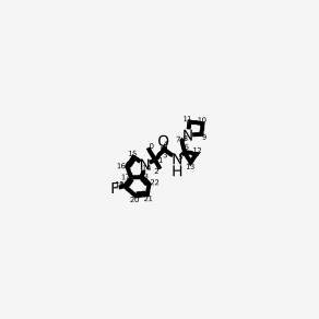 CC(C)(C(=O)NC1(CN2CCC2)CC1)n1ccc2c(F)cccc21